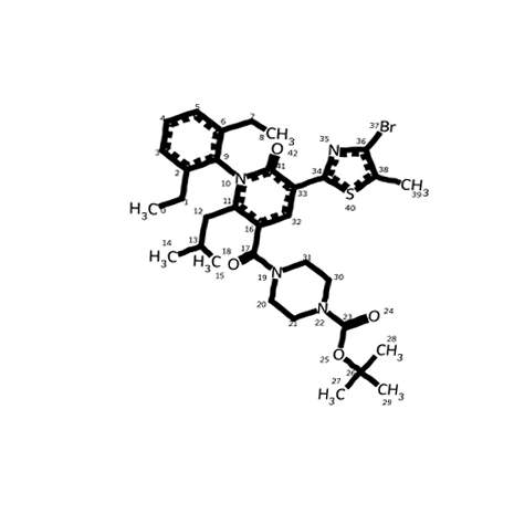 CCc1cccc(CC)c1-n1c(CC(C)C)c(C(=O)N2CCN(C(=O)OC(C)(C)C)CC2)cc(-c2nc(Br)c(C)s2)c1=O